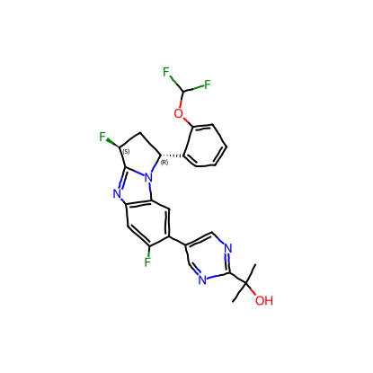 CC(C)(O)c1ncc(-c2cc3c(cc2F)nc2n3[C@@H](c3ccccc3OC(F)F)C[C@@H]2F)cn1